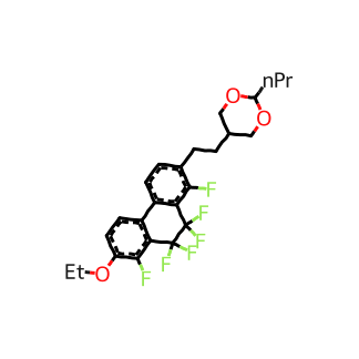 CCCC1OCC(CCc2ccc3c(c2F)C(F)(F)C(F)(F)c2c-3ccc(OCC)c2F)CO1